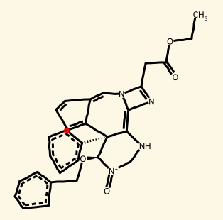 CCOC(=O)CC1=NC2=C3NC[N+](=O)[C@@H](OCc4ccccc4)[C@@]3(c3ccccc3)C3=CC=CC3=CN12